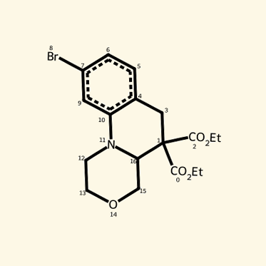 CCOC(=O)C1(C(=O)OCC)Cc2ccc(Br)cc2N2CCOCC21